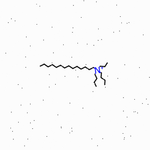 CCCCCCCCCCCCCC[N+](CCC)(CCCC)CCCC